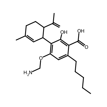 C=C(C)C1CCC(C)=CC1c1c(OCN)cc(CCCCC)c(C(=O)O)c1O